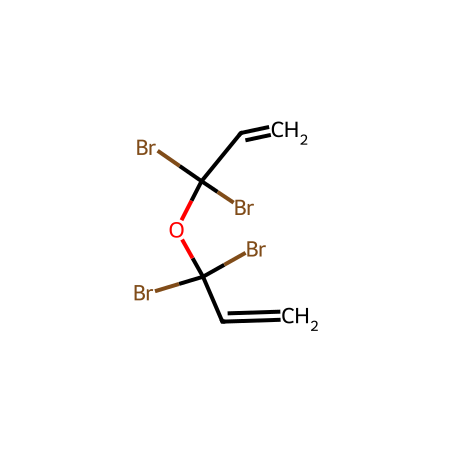 C=CC(Br)(Br)OC(Br)(Br)C=C